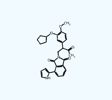 COc1ccc(C(CN2C(=O)c3cccc(-c4ccc[nH]4)c3C2=O)C(C)=O)cc1OC1CCCC1